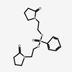 O=C1CCCN1CCOP(=O)(OCCN1CCCC1=O)c1ccccc1